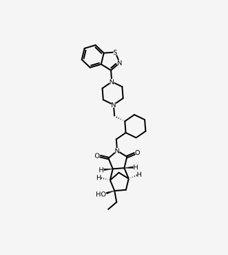 CC[C@@]1(O)C[C@H]2C[C@@H]1[C@@H]1C(=O)N(CC3CCCC[C@H]3CN3CCN(c4nsc5ccccc45)CC3)C(=O)[C@H]21